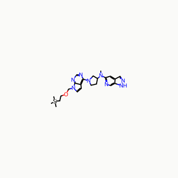 CN(c1cc2cn[nH]c2cn1)C1CCN(c2ncnc3c2ccn3COCC[Si](C)(C)C)C1